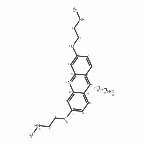 CCNCCOc1ccc2cc3ccc(OCCNCC)cc3nc2c1.Cl.Cl.Cl